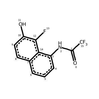 O=C(Nc1cccc2ccc(O)c(F)c12)C(F)(F)F